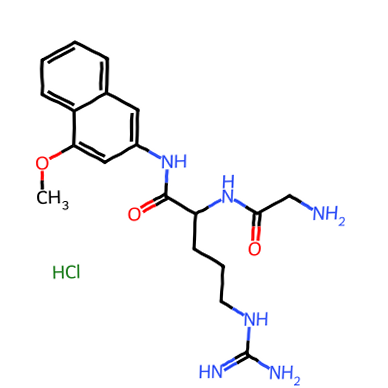 COc1cc(NC(=O)C(CCCNC(=N)N)NC(=O)CN)cc2ccccc12.Cl